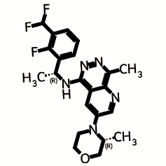 Cc1nnc(N[C@H](C)c2cccc(C(F)F)c2F)c2cc(N3CCOC[C@H]3C)cnc12